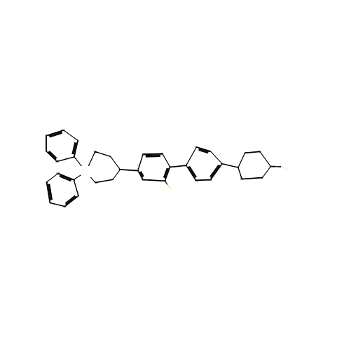 CCCC1CCC(c2ccc(-c3ccc(C4CC[Si](c5ccccc5)(c5ccccc5)CC4)cc3F)cc2)CC1